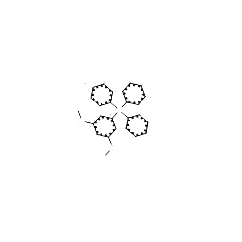 COc1cc(OC)cc([P+](c2ccccc2)(c2ccccc2)c2ccccc2)c1.[Br-]